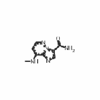 CNc1ccnn2c(C(N)=O)cnc12